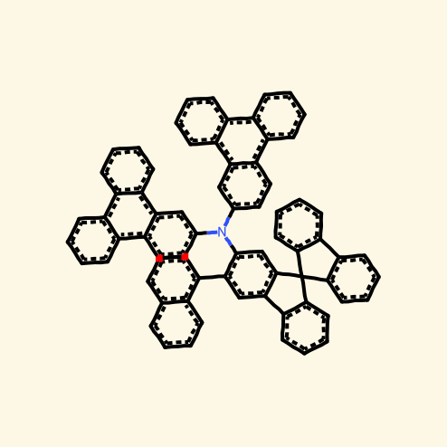 c1ccc2c(c1)-c1ccccc1C21c2ccccc2-c2cc(-c3cccc4ccccc34)c(N(c3ccc4c5ccccc5c5ccccc5c4c3)c3ccc4c5ccccc5c5ccccc5c4c3)cc21